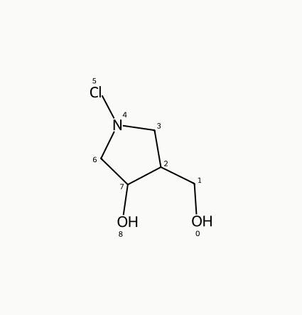 OCC1CN(Cl)CC1O